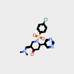 CN(C)/C=C1/CN(S(=O)(=O)c2ccc(Cl)cc2)C(c2cncnc2)CC1=O